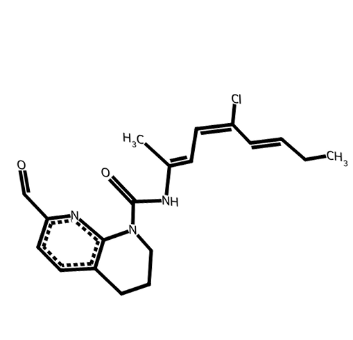 CC/C=C/C(Cl)=C\C=C(/C)NC(=O)N1CCCc2ccc(C=O)nc21